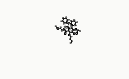 CCCCOc1c2n(cc(OC(C)=O)c1=O)[C@@H](C(c1ccccc1)c1ccccc1)CN(CCOC)C2=O